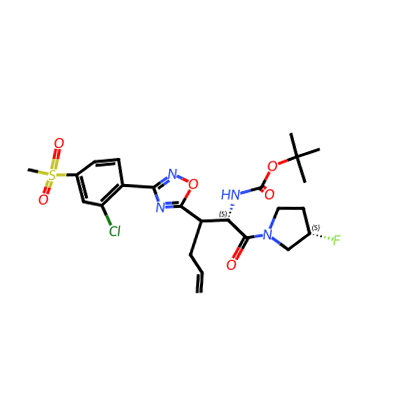 C=CCC(c1nc(-c2ccc(S(C)(=O)=O)cc2Cl)no1)[C@H](NC(=O)OC(C)(C)C)C(=O)N1CC[C@H](F)C1